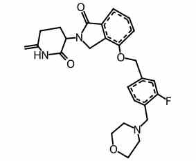 C=C1CCC(N2Cc3c(OCc4ccc(CN5CCOCC5)c(F)c4)cccc3C2=O)C(=O)N1